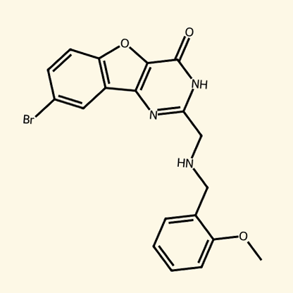 COc1ccccc1CNCc1nc2c(oc3ccc(Br)cc32)c(=O)[nH]1